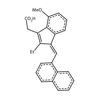 CCC1=C(CC(=O)O)c2c(OC)cccc2C1=Cc1cccc2ccccc12